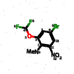 CNc1c(OC(F)F)cc(Br)cc1[N+](=O)[O-]